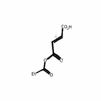 CCC(=O)OC(=O)/C=C/C(=O)O